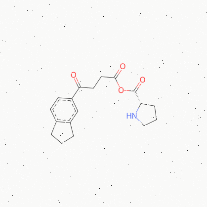 O=C(CCC(=O)c1ccc2c(c1)CCC2)OC(=O)[C@@H]1CCCN1